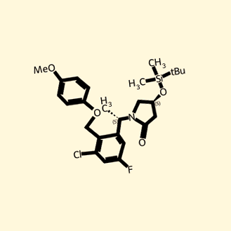 COc1ccc(OCc2c(Cl)cc(F)cc2[C@H](C)N2C[C@@H](O[Si](C)(C)C(C)(C)C)CC2=O)cc1